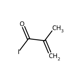 C=C(C)C(=O)I